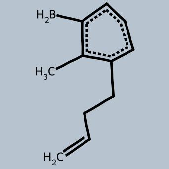 Bc1cccc(CCC=C)c1C